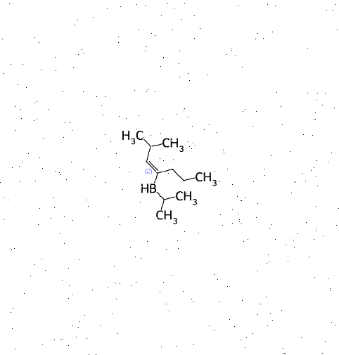 CCC/C(BC(C)C)=C\C(C)C